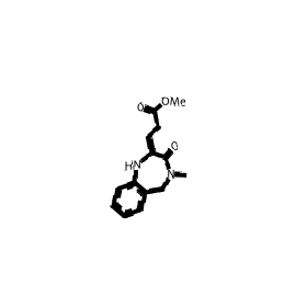 COC(=O)CC=C1Nc2ccccc2CN(C)C1=O